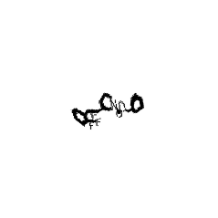 O=C(OCc1ccccc1)N1CCCC(C=Cc2ccccc2C(F)(F)F)C1